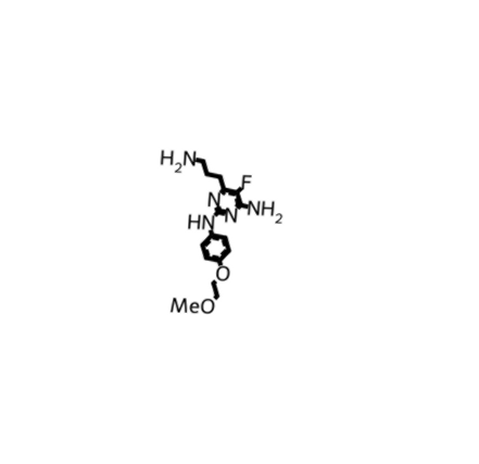 COCCOc1ccc(Nc2nc(N)c(F)c(CCCN)n2)cc1